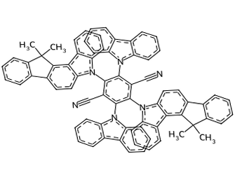 CC1(C)c2ccccc2-c2ccc3c(c21)c1ccccc1n3-c1c(C#N)c(-n2c3ccccc3c3ccccc32)c(-n2c3ccccc3c3c4c(ccc32)-c2ccccc2C4(C)C)c(C#N)c1-n1c2ccccc2c2ccccc21